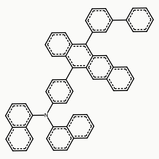 c1ccc(-c2cccc(-c3c4ccccc4c(-c4ccc(N(c5cccc6ccccc56)c5cccc6ccccc56)cc4)c4cc5ccccc5cc34)c2)cc1